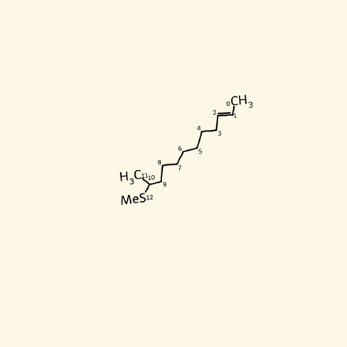 C/C=C/CCCCCCCC(C)SC